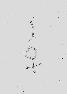 O=C=NCc1ccc([Si](Cl)(Cl)Cl)cc1